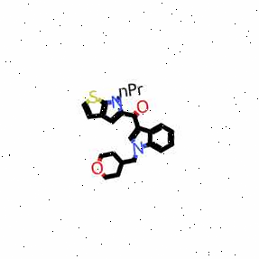 CCCn1c(C(=O)c2cn(CC3CCOCC3)c3ccccc23)cc2ccsc21